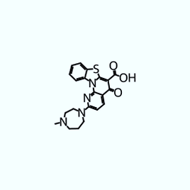 CN1CCCN(c2ccc3c(=O)c(C(=O)O)c4sc5ccccc5n4c3n2)CC1